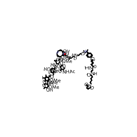 COC(=O)NC1=C2/C(=C\CSSC(C)(C)CCC(=O)NCCO/N=C(/C)c3ccc(OCCCC(=O)NCCNC(=O)CCCCCN4C(=O)C=CC4=O)cc3)[C@](O)(C#C/C=C\C#C[C@@H]2OC2OC(C)C(NOC3CC(O)C(SC(=O)c4c(C)c(I)c(OC5OC(C)C(O)C(OC)C5O)c(OC)c4OC)C(C)O3)C(O)C2OC2CC(OC)C(NC(C)=O)CO2)CC1=O